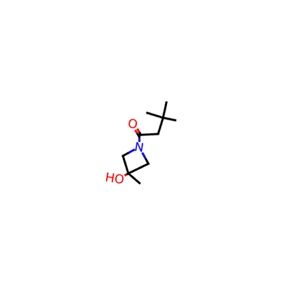 CC(C)(C)CC(=O)N1CC(C)(O)C1